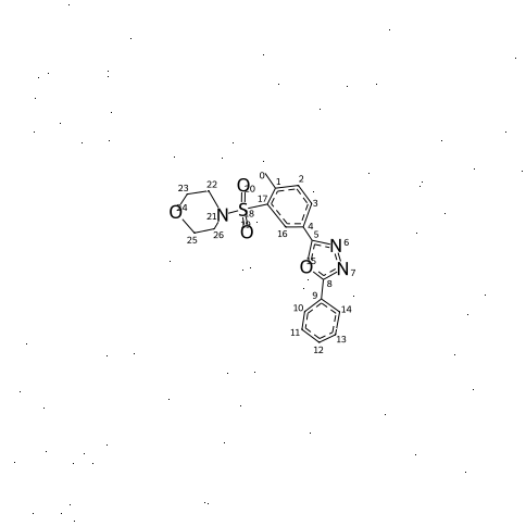 Cc1ccc(-c2nnc(-c3ccccc3)o2)cc1S(=O)(=O)N1CCOCC1